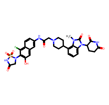 Cn1c(=O)n(C2CCC(=O)NC2=O)c2cccc(C3CCN(CC(=O)Nc4ccc5c(F)c(N6CC(=O)NS6(=O)=O)c(O)cc5c4)CC3)c21